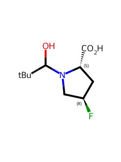 CC(C)(C)C(O)N1C[C@H](F)C[C@H]1C(=O)O